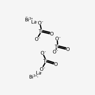 [Bi+3].[Bi+3].[La].[La].[O]=[Ti]([O-])[O-].[O]=[Ti]([O-])[O-].[O]=[Ti]([O-])[O-]